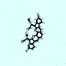 [C-]#[N+]/C(C#N)=C1/c2cc(F)ccc2-c2cc3ccc4cc5c(nc4c3nc21)/C(=C(\C#N)[N+]#[C-])c1cc(F)ccc1-5